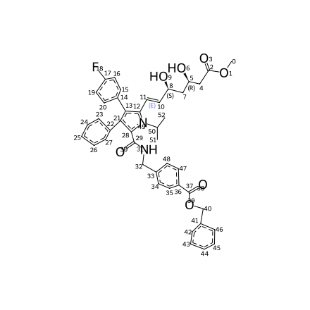 COC(=O)C[C@H](O)C[C@H](O)/C=C/c1c(-c2ccc(F)cc2)c(-c2ccccc2)c(C(=O)NCc2ccc(C(=O)OCc3ccccc3)cc2)n1C(C)C